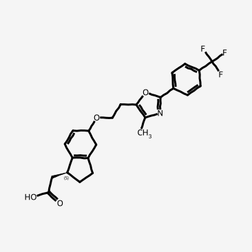 Cc1nc(-c2ccc(C(F)(F)F)cc2)oc1CCOC1C=CC2=C(CC[C@H]2CC(=O)O)C1